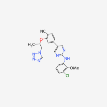 COc1c(Cl)cccc1Nc1ncc(-c2ccc(C#N)c(OC(C)Cn3cnnn3)c2)cn1